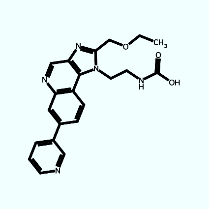 CCOCc1nc2cnc3cc(-c4cccnc4)ccc3c2n1CCNC(=O)O